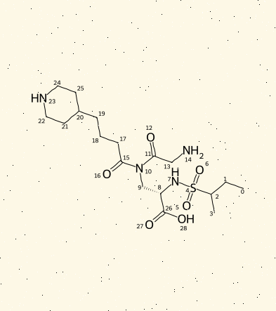 CCC(C)S(=O)(=O)N[C@@H](CN(C(=O)CN)C(=O)CCCC1CCNCC1)C(=O)O